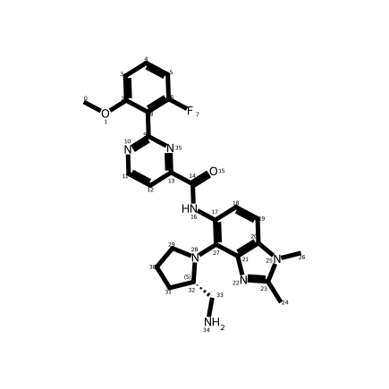 COc1cccc(F)c1-c1nccc(C(=O)Nc2ccc3c(nc(C)n3C)c2N2CCC[C@H]2CN)n1